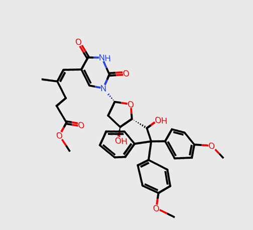 COC(=O)CCC(C)=Cc1cn([C@H]2C[C@H](O)[C@@H](C(O)C(c3ccccc3)(c3ccc(OC)cc3)c3ccc(OC)cc3)O2)c(=O)[nH]c1=O